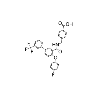 O=C(O)c1ccc(CNC(=O)c2cc(-c3cccc(C(F)(F)F)c3)ccc2Oc2ccc(F)cc2)cc1